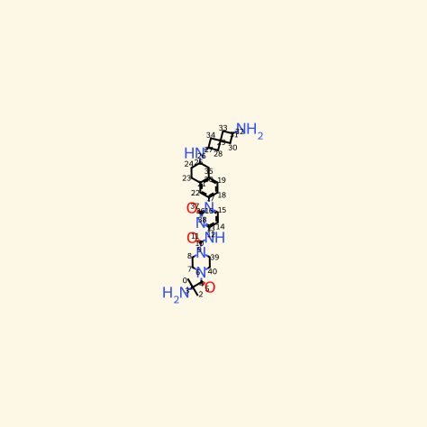 CC(C)(N)C(=O)N1CCN(C(=O)Nc2ccn(-c3ccc4c(c3)CCC(NC3CC5(CC(N)C5)C3)C4)c(=O)n2)CC1